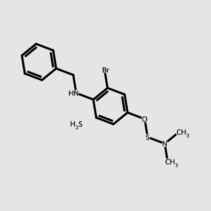 CN(C)SOc1ccc(NCc2ccccc2)c(Br)c1.S